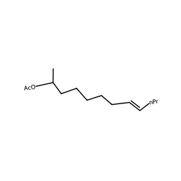 CCCC=CCCCCCC(C)OC(C)=O